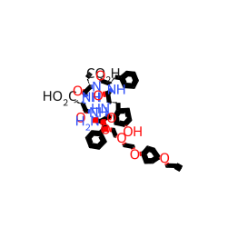 C#CCOc1ccc(OCCOCCOCCNC(=O)[C@H](CC(=O)O)NC(=O)[C@H](CC(=O)O)NC(=O)[C@H](Cc2ccccc2)NC(=O)[C@H](Cc2ccc(O)cc2)NC(=O)[C@@H](N)Cc2ccccc2)cc1